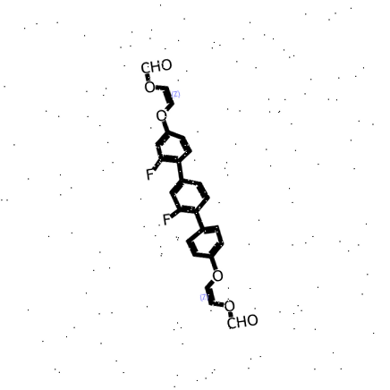 O=CO/C=C\Oc1ccc(-c2ccc(-c3ccc(O/C=C\OC=O)cc3F)cc2F)cc1